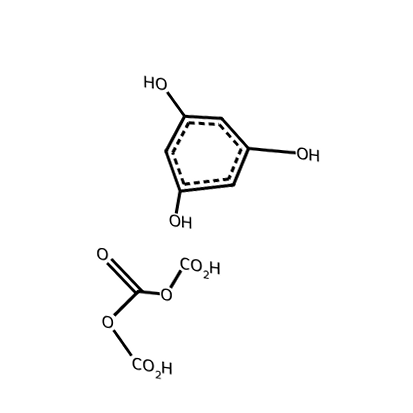 O=C(O)OC(=O)OC(=O)O.Oc1cc(O)cc(O)c1